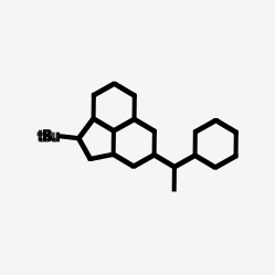 CC(C1CCCCC1)C1CC2CCCC3C2C(C1)CC3C(C)(C)C